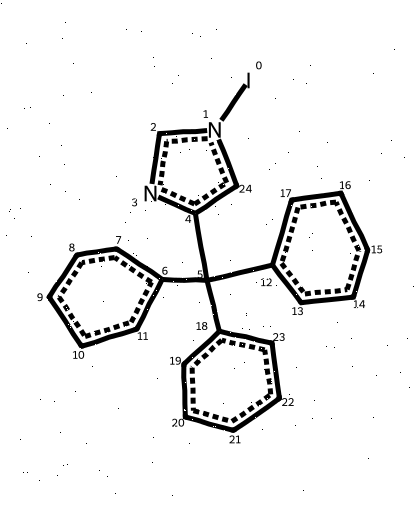 In1cnc(C(c2ccccc2)(c2ccccc2)c2ccccc2)c1